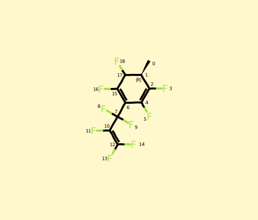 C[C@H]1C(F)=C(F)C(C(F)(F)C(F)=C(F)F)=C(F)C1F